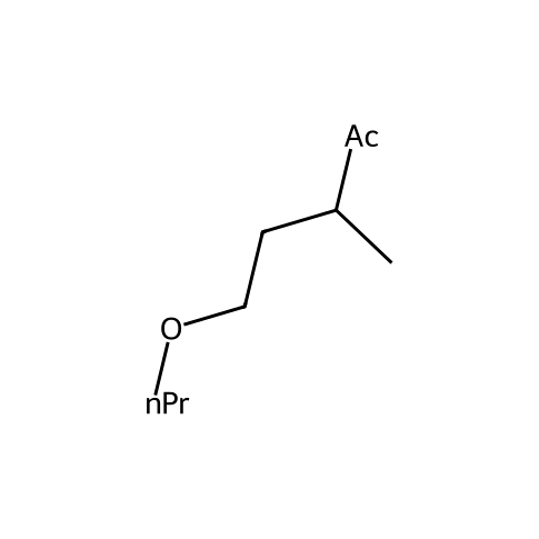 CCCOCCC(C)C(C)=O